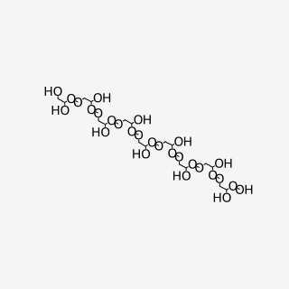 OCC(O)OOCC(O)OOCC(O)OOCC(O)OOCC(O)OOCC(O)OOCC(O)OOCC(O)OOCC(O)OO